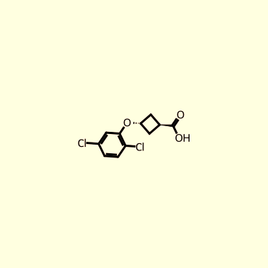 O=C(O)[C@H]1C[C@H](Oc2cc(Cl)ccc2Cl)C1